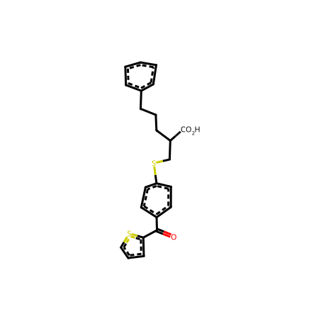 O=C(c1ccc(SCC(CCCc2ccccc2)C(=O)O)cc1)c1cccs1